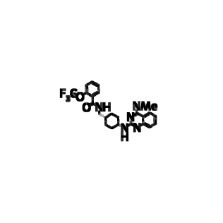 CNc1nc(N[C@H]2CC[C@@H](CNC(=O)c3ccccc3OC(F)(F)F)CC2)nc2ccccc12